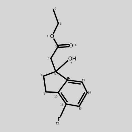 CCOC(=O)CC1(O)CCc2c(F)cccc21